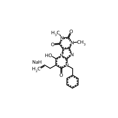 C=CCc1c(O)n2c3c(=O)n(C)c(=O)n(C)c3nc2n(Cc2ccccc2)c1=O.[NaH]